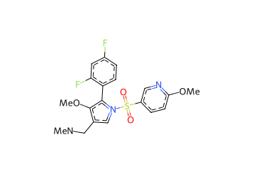 CNCc1cn(S(=O)(=O)c2ccc(OC)nc2)c(-c2ccc(F)cc2F)c1OC